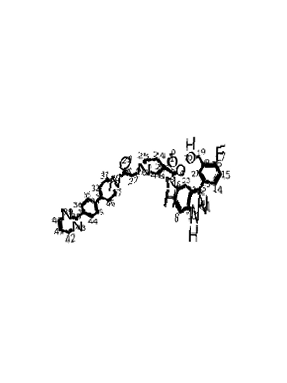 CO[C@@]1(C(=O)Nc2ccc3[nH]nc(-c4ccc(F)c(CO)c4)c3c2)CCN(CC(=O)N2CC=C(c3ccc(-c4ncccn4)cc3)CC2)C1